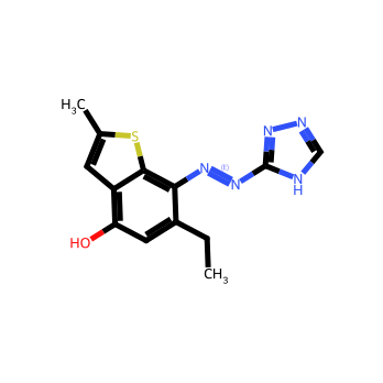 CCc1cc(O)c2cc(C)sc2c1/N=N/c1nnc[nH]1